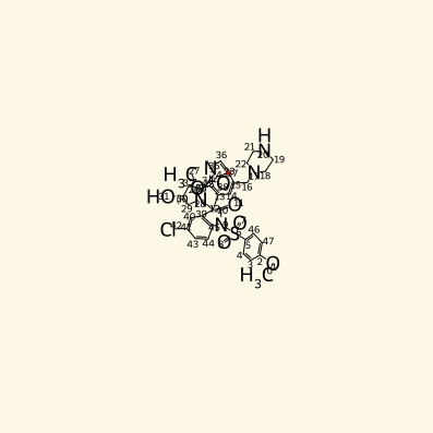 COc1ccc(S(=O)(=O)N2C(=O)C(c3cc(CN4CCNCC4)ccc3OC)(N3C[C@H](O)C[C@H]3c3ncco3)c3cc(Cl)ccc32)cc1